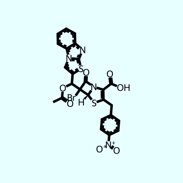 CC(=O)OC(c1cn2c(nc3ccccc32)s1)C1(Br)C(=O)N2C(C(=O)O)=C(Cc3ccc([N+](=O)[O-])cc3)S[C@@H]21